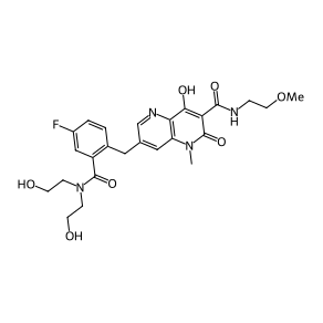 COCCNC(=O)c1c(O)c2ncc(Cc3ccc(F)cc3C(=O)N(CCO)CCO)cc2n(C)c1=O